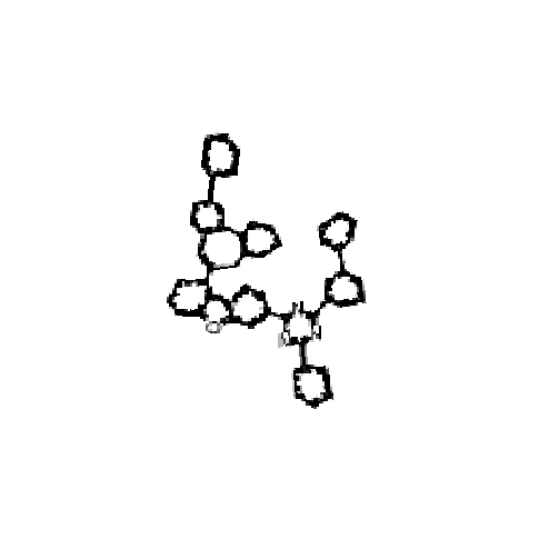 C1=C(c2cccc3oc4cc(-c5nc(-c6ccccc6)nc(-c6cccc(-c7ccccc7)c6)n5)ccc4c23)Cc2ccccc2-c2cc(-c3ccccc3)ccc21